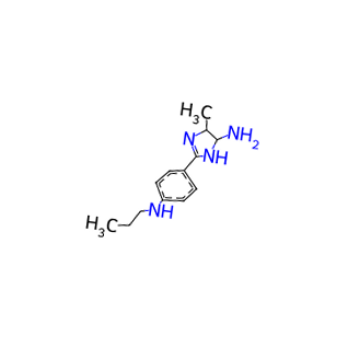 CCCNc1ccc(C2=NC(C)C(N)N2)cc1